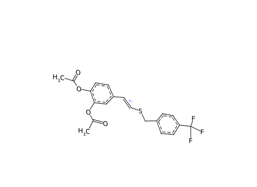 CC(=O)Oc1ccc(/C=C/SCc2ccc(C(F)(F)F)cc2)cc1OC(C)=O